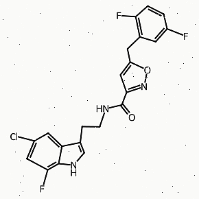 O=C(NCCc1c[nH]c2c(F)cc(Cl)cc12)c1cc(Cc2cc(F)ccc2F)on1